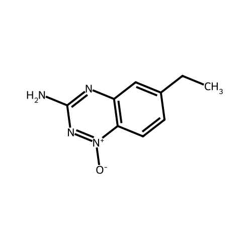 CCc1ccc2c(c1)nc(N)n[n+]2[O-]